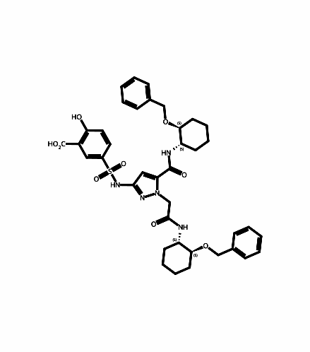 O=C(Cn1nc(NS(=O)(=O)c2ccc(O)c(C(=O)O)c2)cc1C(=O)N[C@H]1CCCC[C@@H]1OCc1ccccc1)N[C@H]1CCCC[C@@H]1OCc1ccccc1